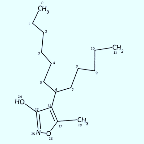 CCCCCCC(CCCCC)c1c(O)noc1C